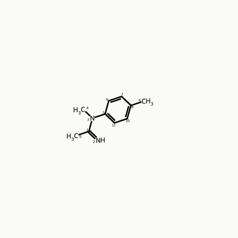 CC(=N)N(C)c1ccc(C)cc1